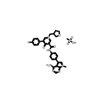 CS(=O)(=O)O.Cn1cc(-c2ccc(NC(=O)c3cn(CC4CCOC4)cc(-c4ccc(F)cc4)c3=O)cc2)c2c(N)ncnc21